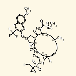 COC[C@@H]1C[C@@H](C)CCC=C[C@@H]2C[C@@]2(C(=O)NS(=O)(=O)C2(CF)CC2)NC(=O)[C@@H]2C[C@@H](Oc3nc4cc(OC)ccc4nc3C(F)(F)F)CN2C(=O)[C@H]1NC(=O)O